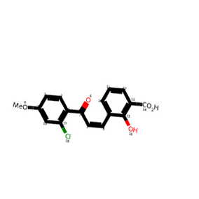 COc1ccc(C(=O)/C=C\c2cccc(C(=O)O)c2O)c(Cl)c1